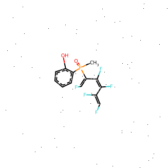 CP(=O)(C(=C\F)/C(F)=C(F)\C(F)=C\F)c1ccccc1O